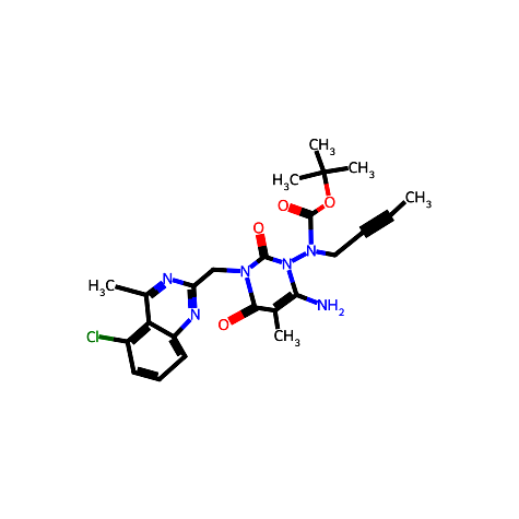 CC#CCN(C(=O)OC(C)(C)C)n1c(N)c(C)c(=O)n(Cc2nc(C)c3c(Cl)cccc3n2)c1=O